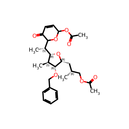 CC(=O)OC[C@H](C)C[C@H]1O[C@@H]([C@H](C)C2OC(OC(C)=O)C=CC2=O)[C@H](C)[C@H]1OCc1ccccc1